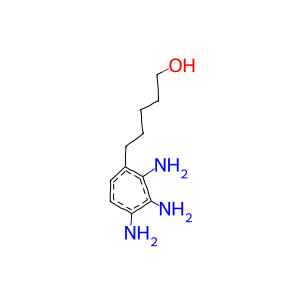 Nc1ccc(CCCCCO)c(N)c1N